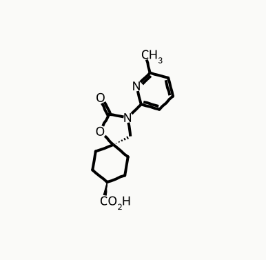 Cc1cccc(N2C[C@]3(CC[C@H](C(=O)O)CC3)OC2=O)n1